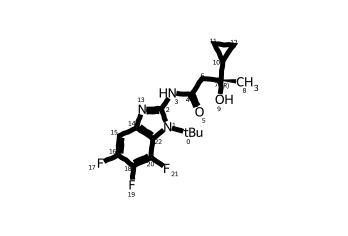 CC(C)(C)n1c(NC(=O)C[C@@](C)(O)C2CC2)nc2cc(F)c(F)c(F)c21